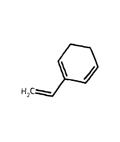 C=CC1=CCCC=C1